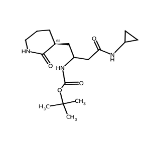 CC(C)(C)OC(=O)NC(CC(=O)NC1CC1)C[C@@H]1CCCNC1=O